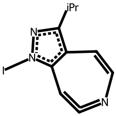 CC(C)c1nn(I)c2c1C=CN=C=C2